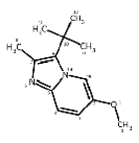 COc1ccc2nc(C)c(C(C)(C)C)n2c1